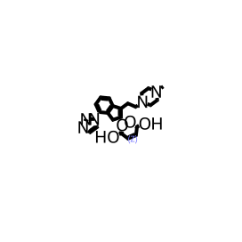 CN1CCN(CCC2=CCc3c2cccc3-n2ccnn2)CC1.O=C(O)/C=C\C(=O)O